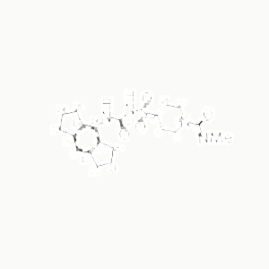 CNC(=O)N1CCC(S(=O)(=O)NC(=O)Nc2c3c(cc4c2CCC4)CCC3)CC1